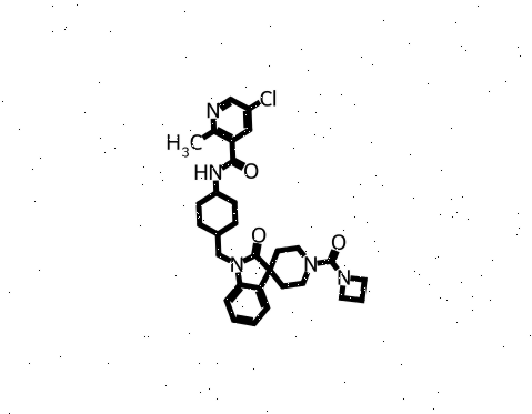 Cc1ncc(Cl)cc1C(=O)NC1CCC(CN2C(=O)C3(CCN(C(=O)N4CCC4)CC3)c3ccccc32)CC1